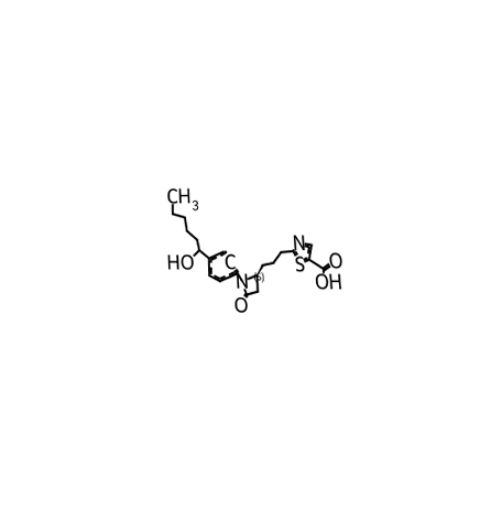 CCCCCC(O)c1ccc(N2C(=O)C[C@@H]2CCCc2ncc(C(=O)O)s2)cc1